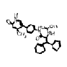 Cc1cc(=O)[nH]cc1-c1ccc(NC(=O)C(NC(=O)O)C(c2ccccc2)c2ccccc2)cc1